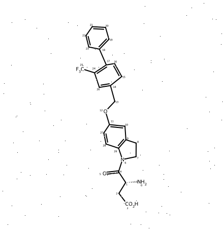 N[C@H](CC(=O)O)C(=O)N1CCc2cc(OCc3ccc(-c4ccccc4)c(C(F)(F)F)c3)ccc21